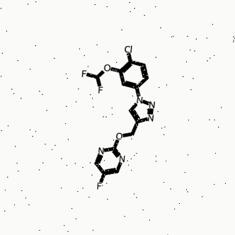 Fc1cnc(OCc2cn(-c3ccc(Cl)c(OC(F)F)c3)nn2)nc1